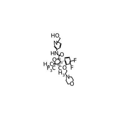 C[C@H]1[C@@H](c2ccc(F)c(F)c2OCCN2CCOCC2)[C@H](C(=O)Nc2ccc(CO)nc2)O[C@@]1(C)C(F)(F)F